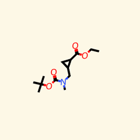 CCOC(=O)C1CC1CN(C)C(=O)OC(C)(C)C